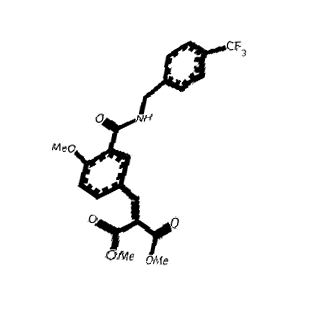 COC(=O)C(=Cc1ccc(OC)c(C(=O)NCc2ccc(C(F)(F)F)cc2)c1)C(=O)OC